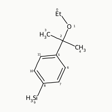 CCOC(C)(C)c1ccc([SiH3])cc1